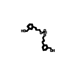 O=[PH](OC/C=C/c1cccc(CO)c1)OC/C=C/c1cccc(CO)c1